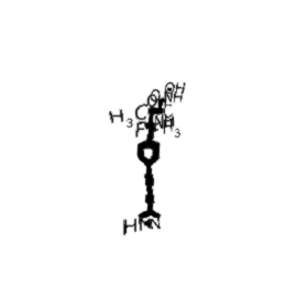 CC(NCc1ccc(C#CC#Cc2cn[nH]c2)cc1)(C(=O)NO)C(C)(O)C(F)F